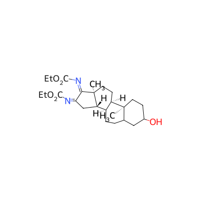 CCOC(=O)N=C1C[C@H]2[C@@H]3CCC4CC(O)CC[C@]4(C)[C@@H]3CC[C@]2(C)C1=NC(=O)OCC